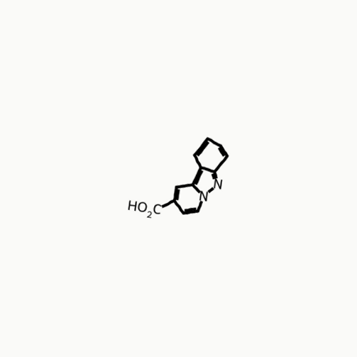 O=C(O)c1ccn2nc3ccccc3c2c1